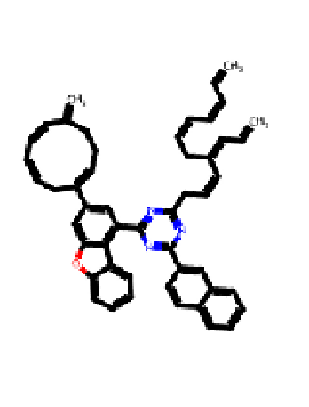 C=C/C=C\C=C/CC(/C=C\Cc1nc(-c2ccc3ccccc3c2)nc(-c2cc(/C3=C/CCC(=C)/C=C\C=C/C3)cc3oc4ccccc4c23)n1)=C/C=C